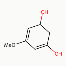 COC1=CC(O)[CH]C(O)=C1